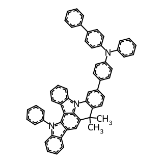 CC1(C)c2ccc(-c3ccc(N(c4ccccc4)c4ccc(-c5ccccc5)cc4)cc3)cc2-n2c3ccccc3c3c2c1cc1c2ccccc2n(-c2ccccc2)c13